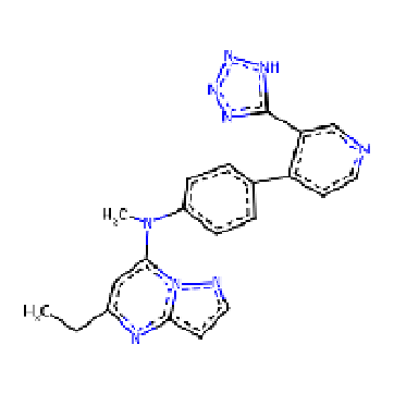 CCc1cc(N(C)c2ccc(-c3ccncc3-c3nnn[nH]3)cc2)n2nccc2n1